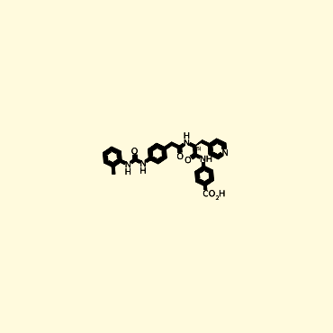 Cc1ccccc1NC(=O)Nc1ccc(CC(=O)N[C@@H](Cc2ccncc2)C(=O)Nc2ccc(C(=O)O)cc2)cc1